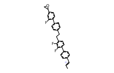 C/C=C/c1ccc(-c2ccc(CCc3ccc(-c4ccc(C5CO5)cc4F)cc3)c(F)c2F)cc1